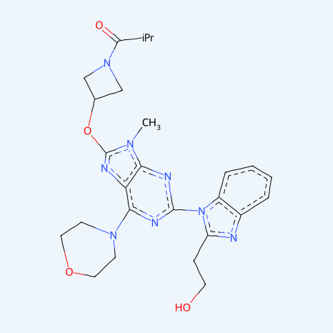 CC(C)C(=O)N1CC(Oc2nc3c(N4CCOCC4)nc(-n4c(CCO)nc5ccccc54)nc3n2C)C1